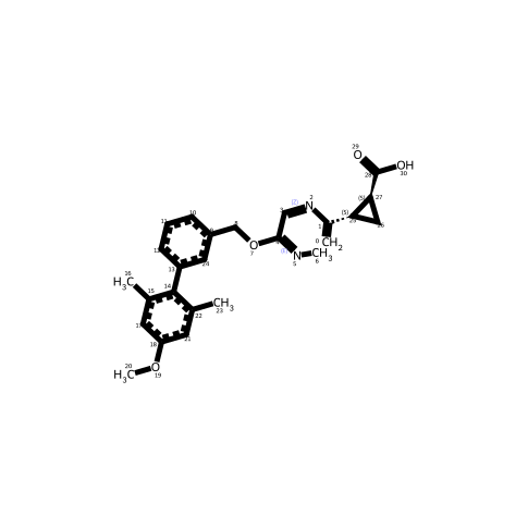 C=C(/N=C\C(=N/C)OCc1cccc(-c2c(C)cc(OC)cc2C)c1)[C@H]1C[C@@H]1C(=O)O